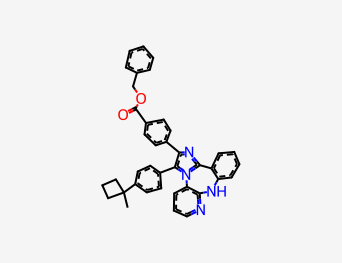 CC1(c2ccc(-c3c(-c4ccc(C(=O)OCc5ccccc5)cc4)nc4n3-c3cccnc3Nc3ccccc3-4)cc2)CCC1